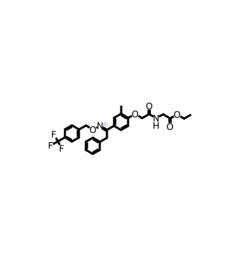 CCOC(=O)CNC(=O)COc1ccc(/C(Cc2ccccc2)=N/OCc2ccc(C(F)(F)F)cc2)cc1C